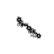 O=C(NCc1ccccc1)NS(=O)(=O)c1ccc(CCNC(=O)N2Cc3ccccc3C2=O)cc1